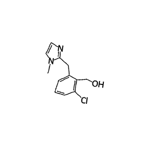 Cn1ccnc1Cc1cccc(Cl)c1CO